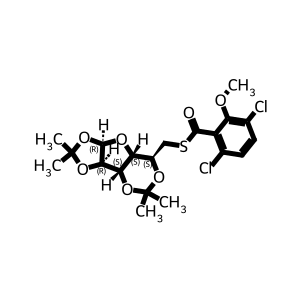 COc1c(Cl)ccc(Cl)c1C(=O)SC[C@H]1OC(C)(C)O[C@@H]2[C@H]3OC(C)(C)O[C@H]3O[C@@H]21